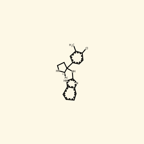 [CH2]C(=O)[C@H]1NCCC1(Nc1nc2ccccc2[nH]1)c1ccc(Cl)c(C)c1